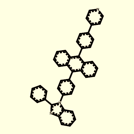 c1ccc(-c2nc3ccccc3n2-c2ccc(-c3c4ccccc4c(-c4ccc(-c5ccncc5)cc4)c4ccccc34)cc2)cc1